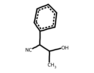 CC(O)C(C#N)c1ccccc1